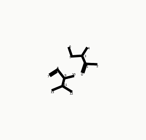 C=C(C)C(C)CC.C=CC(C)C(C)C